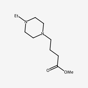 CCN1CCN(CCCC(=O)OC)CC1